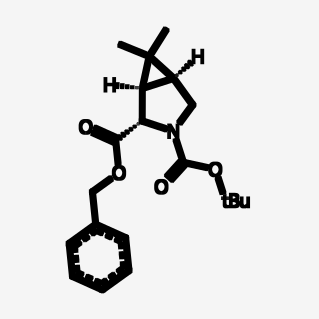 CC(C)(C)OC(=O)N1C[C@H]2[C@@H]([C@H]1C(=O)OCc1ccccc1)C2(C)C